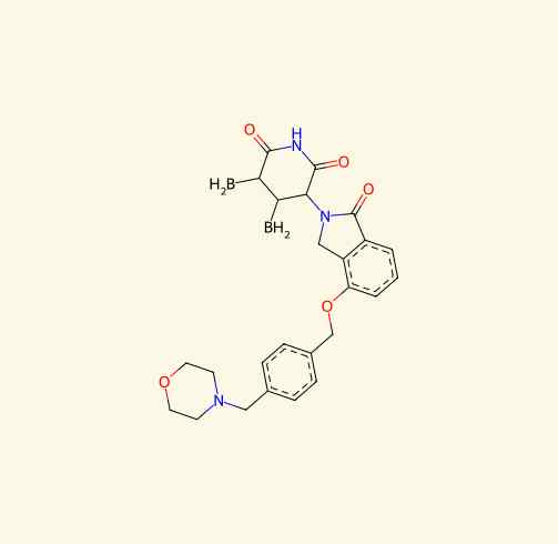 BC1C(=O)NC(=O)C(N2Cc3c(OCc4ccc(CN5CCOCC5)cc4)cccc3C2=O)C1B